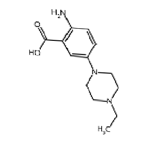 CCN1CCN(c2ccc(N)c(C(=O)O)c2)CC1